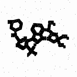 CN(C1=NC(C)(C)CO1)c1cccc2c(-c3nc(N[C@H]4CCCNC4)ncc3C(F)(F)F)c[nH]c12